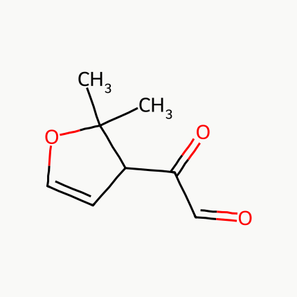 CC1(C)OC=CC1C(=O)C=O